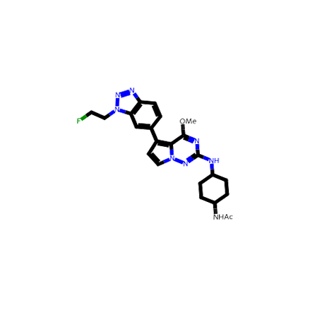 COc1nc(NC2CCC(NC(C)=O)CC2)nn2ccc(-c3ccc4nnn(CCF)c4c3)c12